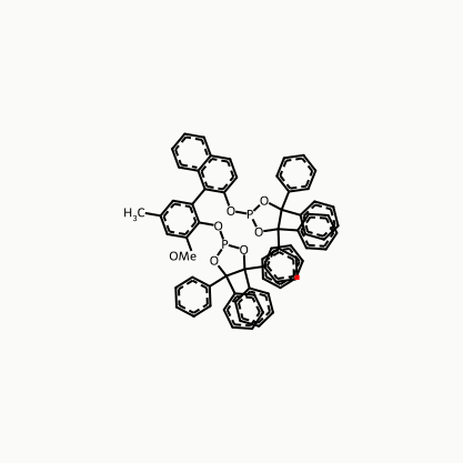 COc1cc(C)cc(-c2c(OP3OC(c4ccccc4)(c4ccccc4)C(c4ccccc4)(c4ccccc4)O3)ccc3ccccc23)c1OP1OC(c2ccccc2)(c2ccccc2)C(c2ccccc2)(c2ccccc2)O1